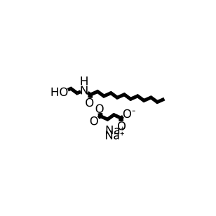 CCCCCCCCCCCC(=O)NCCO.O=C([O-])CCC(=O)[O-].[Na+].[Na+]